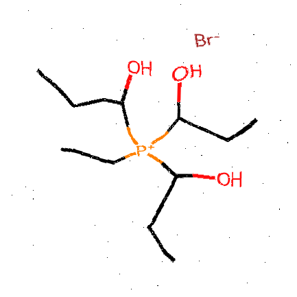 CCC(O)[P+](CC)(C(O)CC)C(O)CC.[Br-]